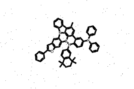 Cc1cc2c3c4c1c1ccccc1n4-c1cc4cc(-c5ccccc5)oc4cc1B3N(c1ccc3c(c1)C(C)(C)CCC3(C)C)c1ccc(N(c3ccccc3)c3ccccc3)cc1-2